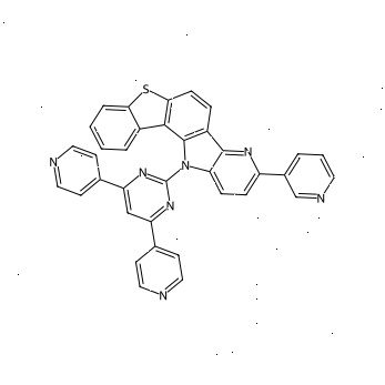 c1cncc(-c2ccc3c(n2)c2ccc4sc5ccccc5c4c2n3-c2nc(-c3ccncc3)cc(-c3ccncc3)n2)c1